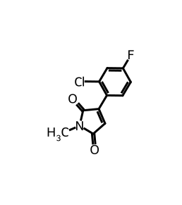 CN1C(=O)C=C(c2ccc(F)cc2Cl)C1=O